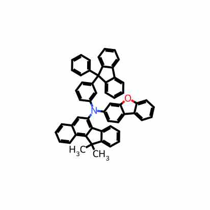 CC1(C)c2ccccc2-c2c(N(c3cccc(C4(c5ccccc5)c5ccccc5-c5ccccc54)c3)c3ccc4c(c3)oc3ccccc34)cc3ccccc3c21